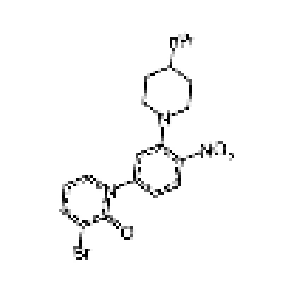 CCCC1CCN(c2cc(-n3cccc(Br)c3=O)ccc2[N+](=O)[O-])CC1